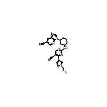 CCn1cc(-c2nc(N[C@@H]3CCC[C@H](n4cnc5cc(C#N)cnc54)C3)ncc2C#N)cn1